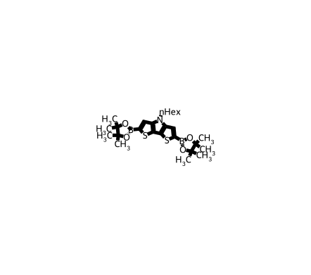 CCCCCCn1c2cc(B3OC(C)(C)C(C)(C)O3)sc2c2sc(B3OC(C)(C)C(C)(C)O3)cc21